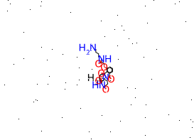 CC1(N2C(=O)c3cccc(OCC(=O)NCCCCN)c3C2=O)CCC(=O)NC1=O